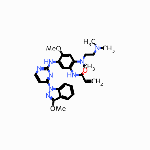 C=CC(=O)Nc1cc(Nc2nccc(-n3nc(OC)c4ccccc43)n2)c(OC)cc1N(C)CCN(C)C